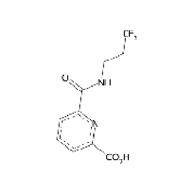 O=C(O)c1cccc(C(=O)NCCC(F)(F)F)n1